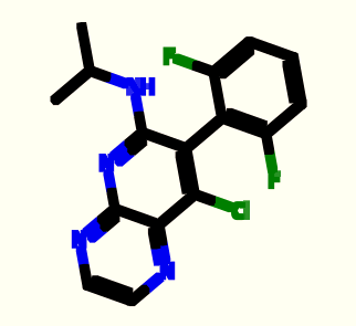 CC(C)Nc1nc2nccnc2c(Cl)c1-c1c(F)cccc1F